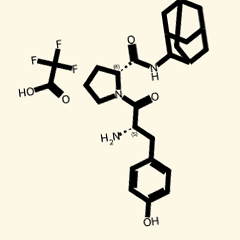 N[C@@H](Cc1ccc(O)cc1)C(=O)N1CCC[C@@H]1C(=O)NC1C2CC3CC(C2)CC1C3.O=C(O)C(F)(F)F